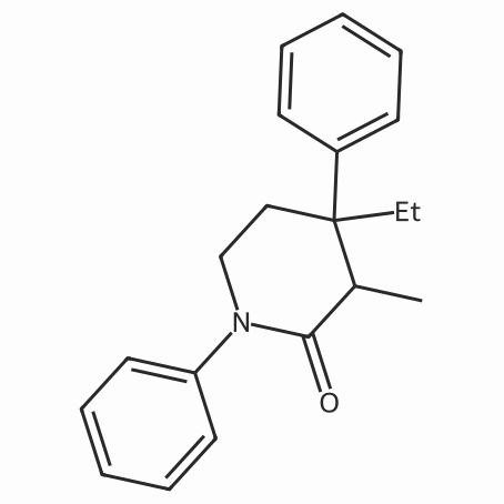 CCC1(c2ccccc2)CCN(c2ccccc2)C(=O)C1C